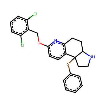 Clc1cccc(Cl)c1COc1ccc2c(n1)CCC1NCCC21Sc1ccccc1